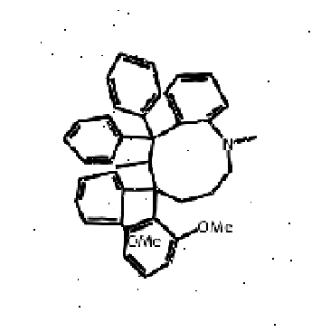 COc1ccccc1C1(c2ccccc2OC)CCCN(C)c2ccccc2C(c2ccccc2)(c2ccccc2)[C@@H]1C